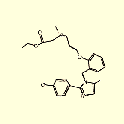 CCOC(=O)C[C@H](C)CCCOc1ccccc1Cn1c(C)cnc1-c1ccc(Cl)cc1